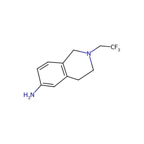 Nc1ccc2c(c1)CCN(CC(F)(F)F)C2